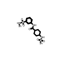 CC(C)NS(=O)(=O)c1cccc(NC(=O)C2CCC(NS(=O)(=O)C(C)C)CC2)c1